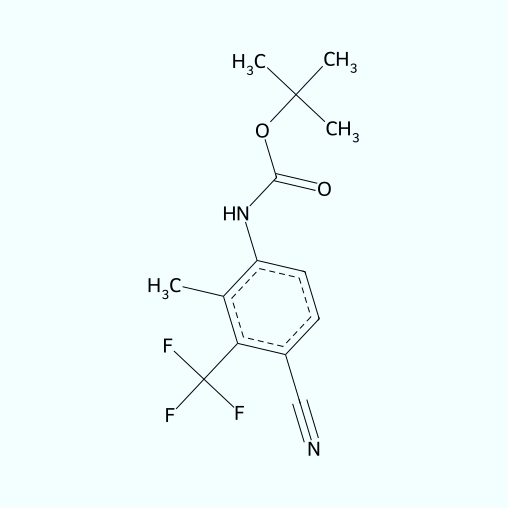 Cc1c(NC(=O)OC(C)(C)C)ccc(C#N)c1C(F)(F)F